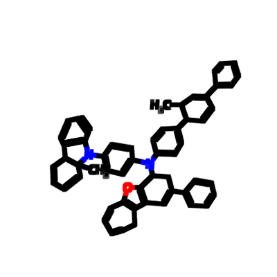 CC1C=C(c2ccccc2)C=CC1c1ccc(N(c2ccc(N3c4c#cccc4C4C=CC=CC43C)cc2)C2CC(c3ccccc3)=Cc3c2oc2c3CC=CC=C2)cc1